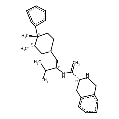 C=C(N[C@H](CN1CC[C@@](C)(c2ccccc2)[C@@H](C)C1)C(C)C)[C@H]1Cc2ccccc2CN1